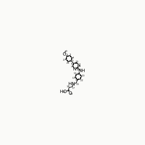 COc1ccc(-c2cnc(Nc3ccc(CNCCC(=O)O)cc3)nc2)cc1